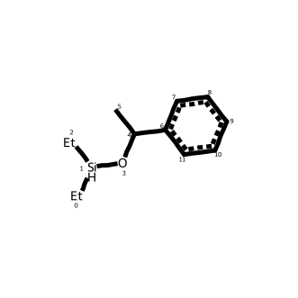 CC[SiH](CC)OC(C)c1ccccc1